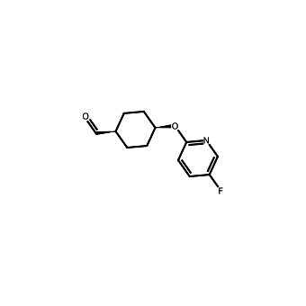 O=C[C@H]1CC[C@@H](Oc2ccc(F)cn2)CC1